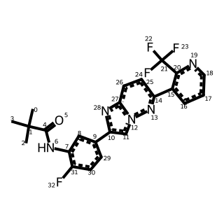 CC(C)(C)C(=O)Nc1cc(-c2cn3nc(-c4cccnc4C(F)(F)F)ccc3n2)ccc1F